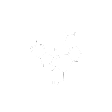 OCC1Sc2cccc(OC(F)F)c2[C@H]2C[C@H]1c1nc3ccc(Cl)cc3n12